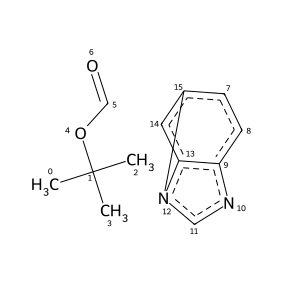 CC(C)(C)OC=O.c1cc2ncn3c2cc1-3